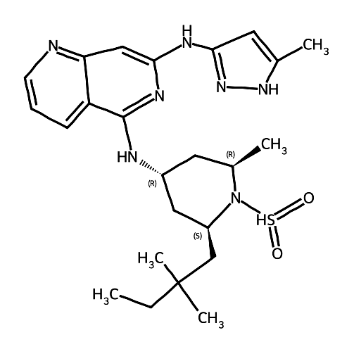 CCC(C)(C)C[C@H]1C[C@H](Nc2nc(Nc3cc(C)[nH]n3)cc3ncccc23)C[C@@H](C)N1[SH](=O)=O